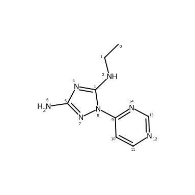 CCNc1nc(N)nn1-c1ccncn1